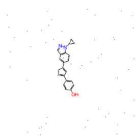 Oc1ccc(C2=CCC(c3ccc4c(cnn4C4CC4)c3)=C2)cc1